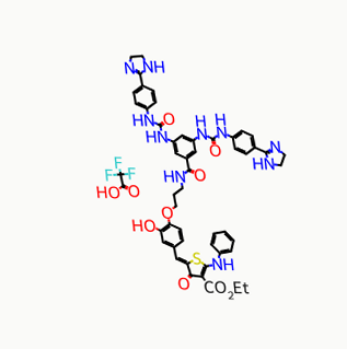 CCOC(=O)C1=C(Nc2ccccc2)S/C(=C\c2ccc(OCCCNC(=O)c3cc(NC(=O)Nc4ccc(C5=NCCN5)cc4)cc(NC(=O)Nc4ccc(C5=NCCN5)cc4)c3)c(O)c2)C1=O.O=C(O)C(F)(F)F